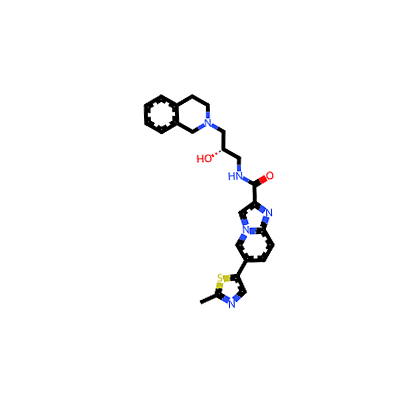 Cc1ncc(-c2ccc3nc(C(=O)NC[C@H](O)CN4CCc5ccccc5C4)cn3c2)s1